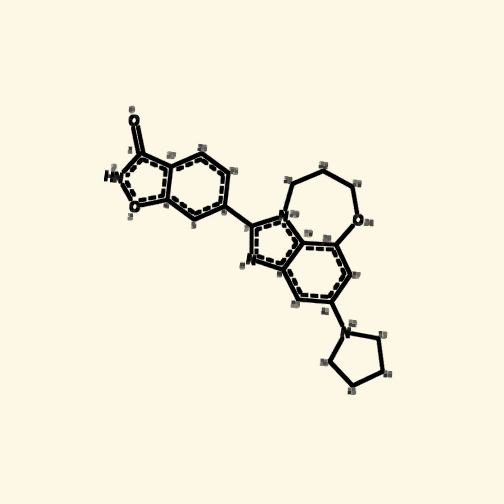 O=c1[nH]oc2cc(-c3nc4cc(N5CCCC5)cc5c4n3CCCO5)ccc12